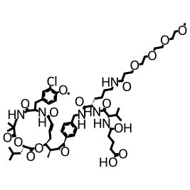 COCCOCCOCCOCCC(=O)NCCCC[C@H](NC(=O)[C@@H](NC(O)CCCC(=O)O)C(C)C)C(=O)NCc1ccc([C@H]2O[C@@H]2[C@@H](C)[C@@H]2C/C=C/C(=O)NC(Cc3ccc(OC)c(Cl)c3)C(=O)NCC(C)(C)C(=O)O[C@@H](CC(C)C)C(=O)O2)cc1